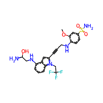 COc1cc(S(N)(=O)=O)ccc1NCC#Cc1cc2c(NCC(N)O)cccc2n1CC(F)(F)F